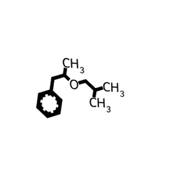 CC(C)COC(C)Cc1ccccc1